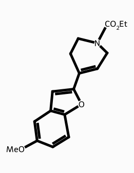 CCOC(=O)N1CC=C(c2cc3cc(OC)ccc3o2)CC1